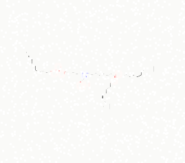 CC/C=C\CCCCOC(CCCCCCCN(CCO)CCCCCOC(=O)OCCC/C=C\CCCCC)OCCCC/C=C\CC